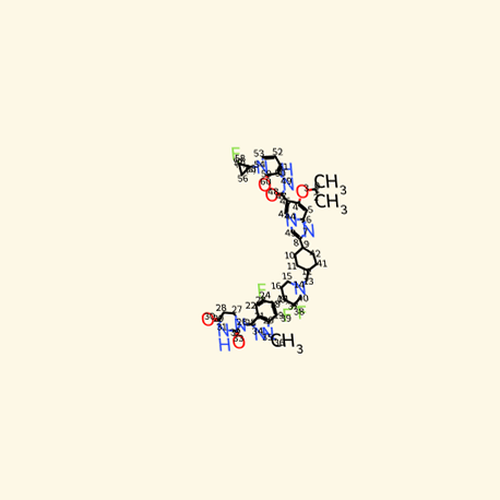 CC(C)Oc1cc2nc(C3CCC(CN4CC[C@@H](c5cc6c(cc5F)c(N5CCC(=O)NC5=O)nn6C)C(F)(F)C4)CC3)cn2cc1C(=O)Nc1cccn([C@H]2C[C@H]2F)c1=O